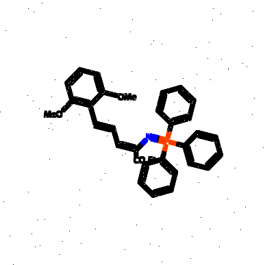 CCOC(=O)C(=CC=Cc1c(OC)cccc1OC)N=P(c1ccccc1)(c1ccccc1)c1ccccc1